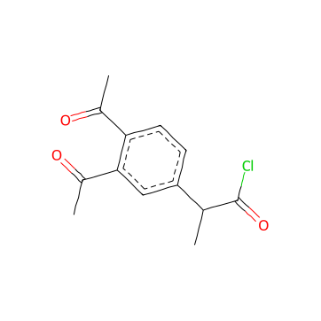 CC(=O)c1ccc(C(C)C(=O)Cl)cc1C(C)=O